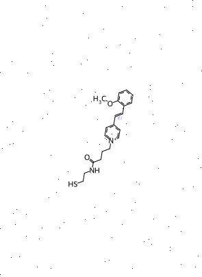 COc1ccccc1/C=C/c1cc[n+](CCCC(=O)NCCS)cc1